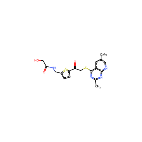 COc1cnc2nc(C)nc(SCC(=O)c3ccc(CNC(=O)CO)s3)c2c1